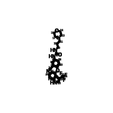 N#Cc1cc(NC(=O)NCCCN2CCOCC2)ccc1Oc1ccnc2[nH]cc(C(F)(F)F)c12